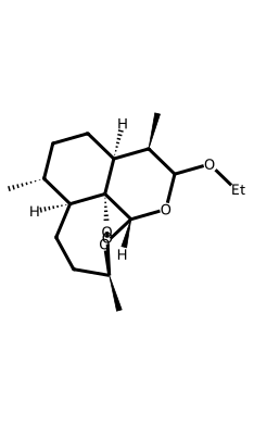 CCOC1O[C@@H]2O[C@@]3(C)CC[C@H]4[C@H](C)CC[C@@H]([C@H]1C)[C@@]24OO3